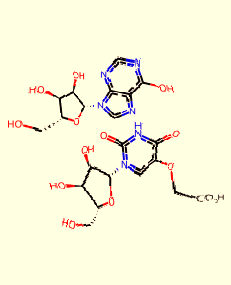 O=C(O)COc1cn([C@@H]2O[C@H](CO)[C@@H](O)[C@H]2O)c(=O)[nH]c1=O.OC[C@H]1O[C@@H](n2cnc3c(O)ncnc32)[C@H](O)[C@@H]1O